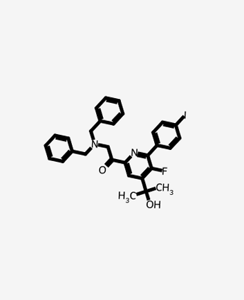 CC(C)(O)c1cc(C(=O)CN(Cc2ccccc2)Cc2ccccc2)nc(-c2ccc(I)cc2)c1F